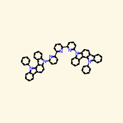 c1ccc(-n2c3ccccc3c3ccc4c(c5ccccc5n4-c4cccc(-c5cccc(-c6cccc(-n7c8ccccc8c8c7ccc7c9ccccc9n(-c9ccccc9)c78)n6)n5)n4)c32)cc1